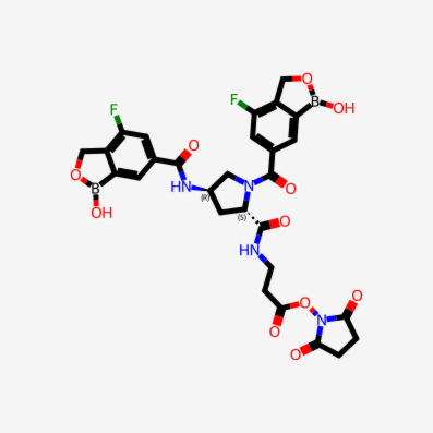 O=C(CCNC(=O)[C@@H]1C[C@@H](NC(=O)c2cc(F)c3c(c2)B(O)OC3)CN1C(=O)c1cc(F)c2c(c1)B(O)OC2)ON1C(=O)CCC1=O